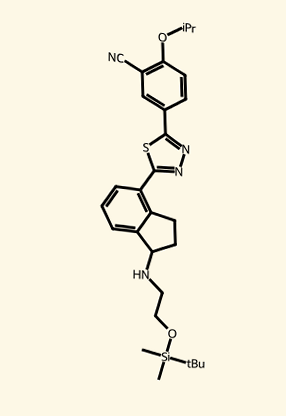 CC(C)Oc1ccc(-c2nnc(-c3cccc4c3CCC4NCCO[Si](C)(C)C(C)(C)C)s2)cc1C#N